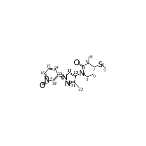 CCN(C(=O)C(C)CSC)c1cn(-c2ccc[n+]([O-])c2)nc1C